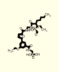 CCCCCC(C(=O)NCNC(=O)c1ccc(-c2cc(OCC)cc(C(=O)NCP(=O)(O)O)c2)o1)[C@@H](CC)N(O)C=O